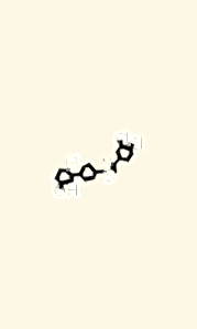 Oc1ccc(Cl)c(-c2ccc(-c3nc(-c4ccc(Cl)c(Cl)c4)cs3)cc2)c1